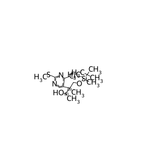 CSc1ncc([C@@](C)(CO[Si](C)(C)C(C)(C)C)[C@@H](C)O)c(Cl)n1